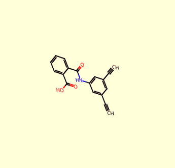 C#Cc1cc(C#C)cc(NC(=O)c2ccccc2C(=O)O)c1